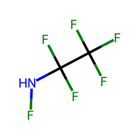 FNC(F)(F)C(F)(F)F